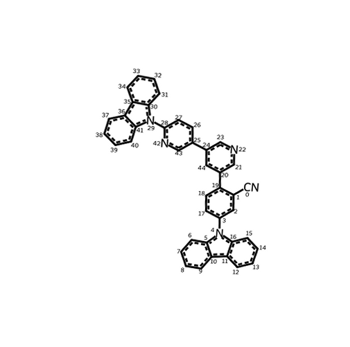 N#Cc1cc(-n2c3ccccc3c3ccccc32)ccc1-c1cncc(-c2ccc(-n3c4ccccc4c4ccccc43)nc2)c1